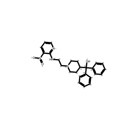 O=[N+]([O-])c1cccnc1NCCN1CCC(C(O)(c2ccccc2)c2ccccc2)CC1